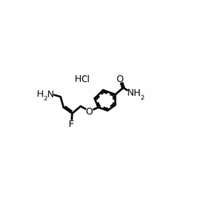 Cl.NC/C=C(/F)COc1ccc(C(N)=O)cc1